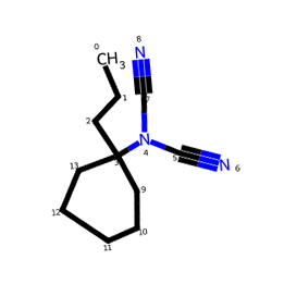 CCCC1(N(C#N)C#N)CCCCC1